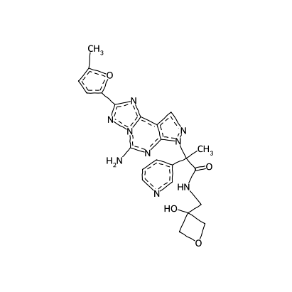 Cc1ccc(-c2nc3c4cnn(C(C)(C(=O)NCC5(O)COC5)c5cccnc5)c4nc(N)n3n2)o1